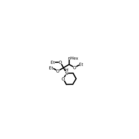 CCCCCCC(OCC)C(OCC)(OCC)[SiH]1CCCCO1